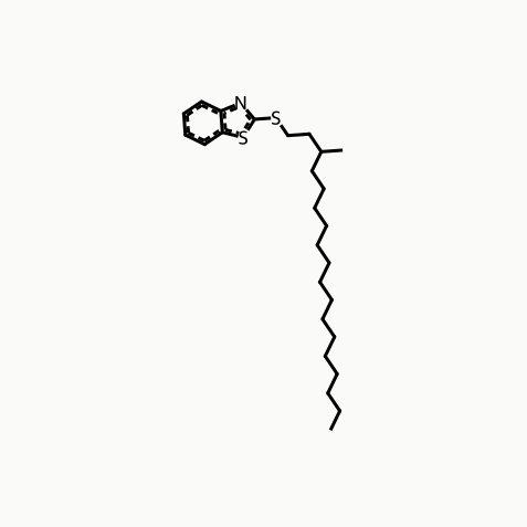 CCCCCCCCCCCCCCCC(C)CCSc1nc2ccccc2s1